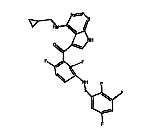 O=C(c1c(F)ccc(NSc2cc(F)cc(F)c2F)c1F)c1c[nH]c2ncnc(NCC3CC3)c12